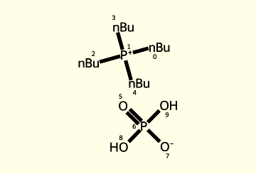 CCCC[P+](CCCC)(CCCC)CCCC.O=P([O-])(O)O